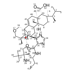 CC(C)[C@@H](C)[C@@]1(C)CC[C@]2(C)[C@H]3CC[C@@H]4[C@@]5(COC[C@@]4(C)[C@@H](OC[C@](C)(N)C(C)(C)C)[C@H](n4ncnc4C(=O)NCCF)C5)C3=CC[C@@]2(C)[C@@H]1C(=O)O